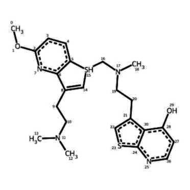 COc1ccc2c(n1)C(CCN(C)C)=C[SH]2CN(C)CCc1csc2nccc(O)c12